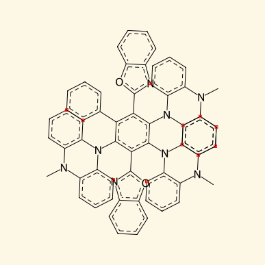 CN1c2ccccc2N(c2c(-c3ccccc3)c(-c3nc4ccccc4o3)c(N3c4ccccc4N(C)c4ccccc43)c(N3c4ccccc4N(C)c4ccccc43)c2-c2nc3ccccc3o2)c2ccccc21